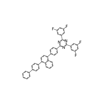 Fc1cc(F)cc(-c2nc(-c3ccc(-c4ccc(-c5ccc(-c6ccccc6)cc5)c5ccccc45)cc3)nc(-c3cc(F)cc(F)c3)n2)c1